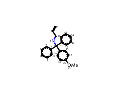 C=CC[N]C(c1ccccc1)(c1ccccc1)c1ccc(OC)cc1